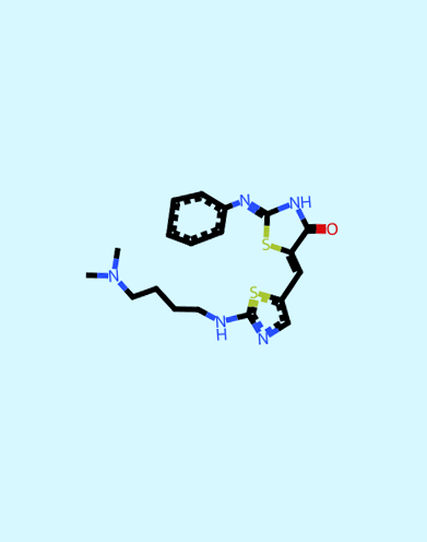 CN(C)CCCCNc1ncc(C=C2SC(=Nc3ccccc3)NC2=O)s1